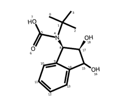 CC(C)(C)N(C(=O)O)[C@@H]1c2ccccc2C(O)[C@@H]1O